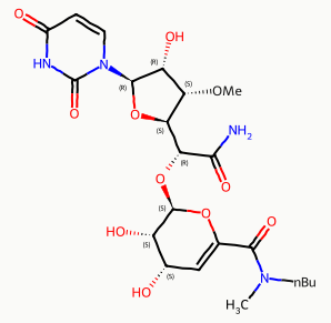 CCCCN(C)C(=O)C1=C[C@H](O)[C@H](O)[C@@H](O[C@@H](C(N)=O)[C@H]2O[C@@H](n3ccc(=O)[nH]c3=O)[C@H](O)[C@@H]2OC)O1